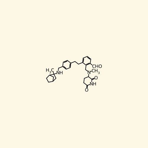 CN(Cc1c(C=O)cccc1CCc1ccc(CNC2(C)CC3CCC2C3)cc1)C1CCC(=O)NC1=O